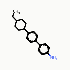 CCC1CCC(c2ccc(-c3ccc(N)cc3)cc2)CC1